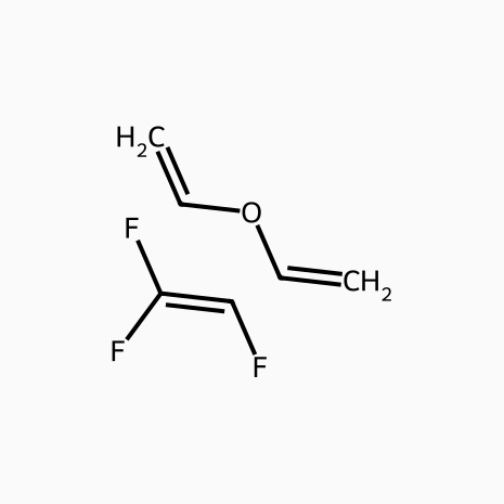 C=COC=C.FC=C(F)F